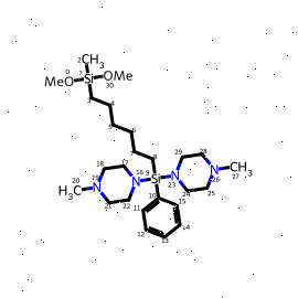 CO[Si](C)(CCCCCC[Si](c1ccccc1)(N1CCN(C)CC1)N1CCN(C)CC1)OC